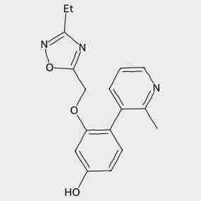 CCc1noc(COc2cc(O)ccc2-c2cccnc2C)n1